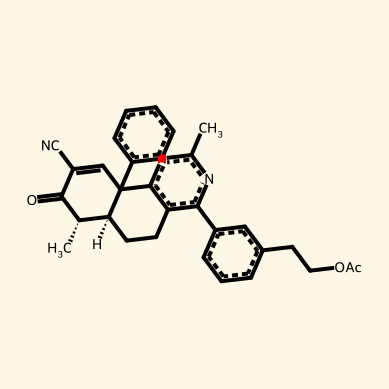 CC(=O)OCCc1cccc(-c2nc(C)nc3c2CC[C@H]2[C@H](C)C(=O)C(C#N)=CC32c2ccccc2)c1